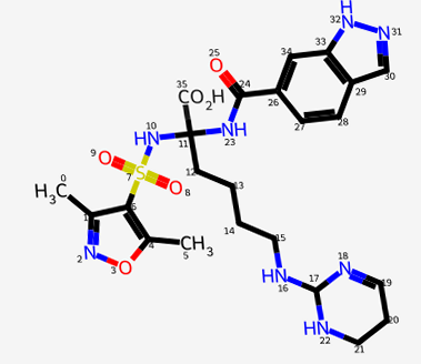 Cc1noc(C)c1S(=O)(=O)NC(CCCCNC1N=CCCN1)(NC(=O)c1ccc2cn[nH]c2c1)C(=O)O